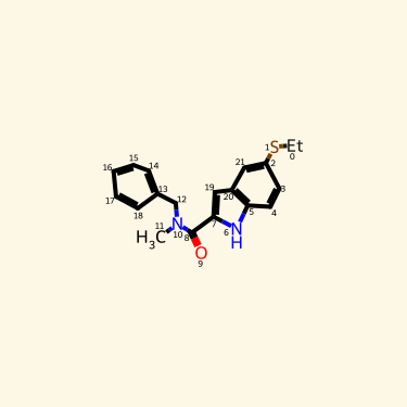 CCSc1ccc2[nH]c(C(=O)N(C)Cc3ccccc3)cc2c1